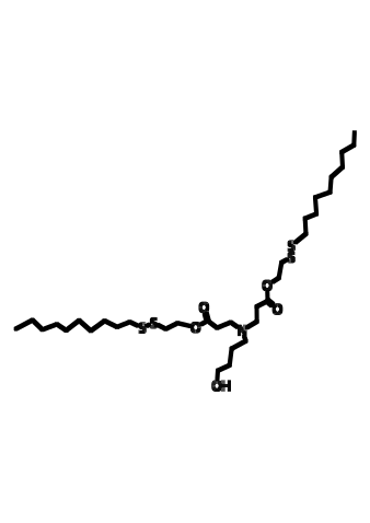 CCCCCCCCCCSSCCOC(=O)CCN(CCCCO)CCC(=O)OCCSSCCCCCCCCCC